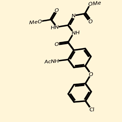 COC(=O)N=C(NC(=O)OC)NC(=O)c1ccc(Oc2cccc(Cl)c2)cc1NC(C)=O